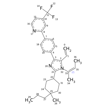 C=Cc1c(-c2ccc(-c3cc(C(F)(F)F)ccn3)cc2)nc(C2CCC(C)(CCC)CC2)n1/C(C)=C\C